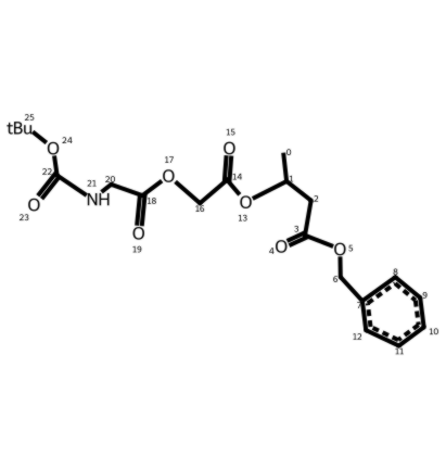 CC(CC(=O)OCc1ccccc1)OC(=O)COC(=O)CNC(=O)OC(C)(C)C